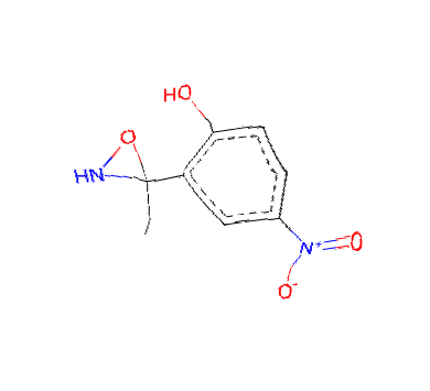 CC1(c2cc([N+](=O)[O-])ccc2O)NO1